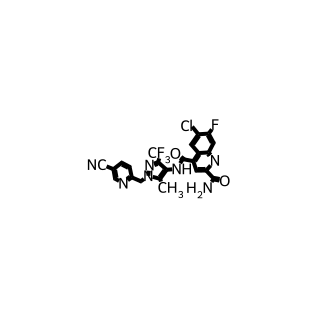 Cc1c(NC(=O)c2cc(C(N)=O)nc3cc(F)c(Cl)cc23)c(C(F)(F)F)nn1Cc1ccc(C#N)cn1